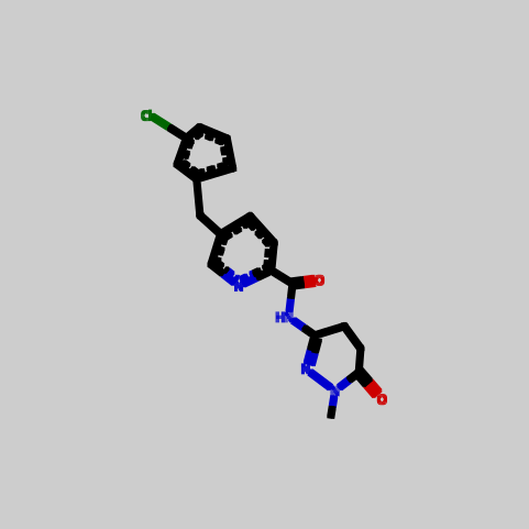 CN1N=C(NC(=O)c2ccc(Cc3cccc(Cl)c3)cn2)CCC1=O